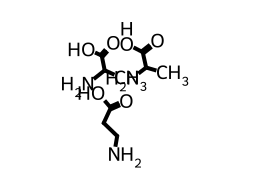 CC(N)C(=O)O.CC(N)C(=O)O.NCCC(=O)O